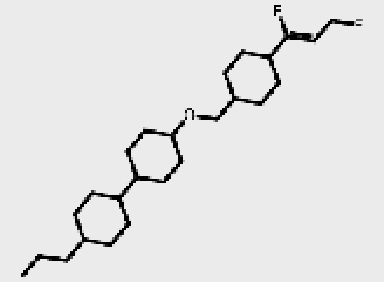 CCCC1CCC(C2CCC(OCC3CCC(/C(F)=C/CF)CC3)CC2)CC1